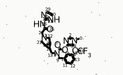 Cn1cnc(OC(=O)N(Cc2cccc(OC(F)(F)F)c2)CC2C3CN(CC(=O)Nc4ncc[nH]4)CC32)c1